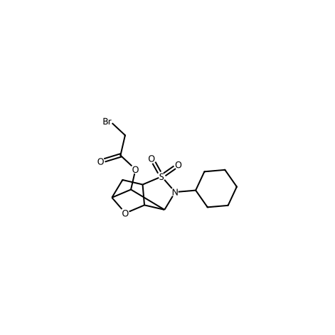 O=C(CBr)OC1C2CC3C(O2)C1N(C1CCCCC1)S3(=O)=O